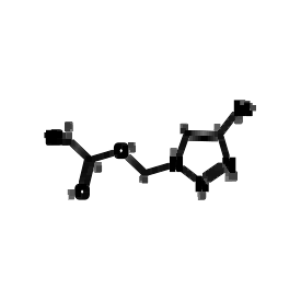 C[CH]c1cn(COC(=O)C(C)(C)C)nn1